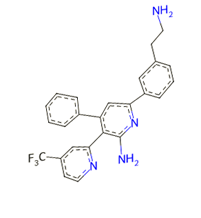 NCCc1cccc(-c2cc(-c3ccccc3)c(-c3cc(C(F)(F)F)ccn3)c(N)n2)c1